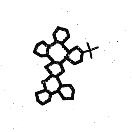 CC(C)(C)c1cc[n+]2c(c1)c1ccccc1[n+]1ccccc1c1cc3oc4ccccc4c4ccccc4c3cc12